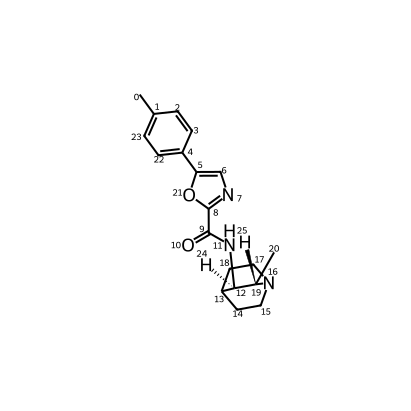 Cc1ccc(-c2cnc(C(=O)N[C@@H]3C4CCN(CC4)[C@H]3C)o2)cc1